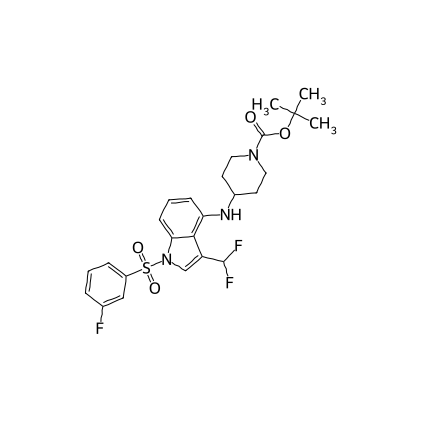 CC(C)(C)OC(=O)N1CCC(Nc2cccc3c2c(C(F)F)cn3S(=O)(=O)c2cccc(F)c2)CC1